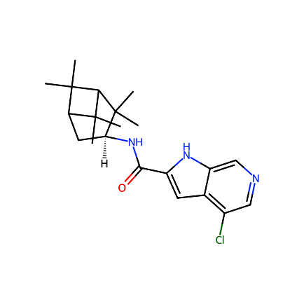 CC1(C)C2C[C@H](NC(=O)c3cc4c(Cl)cncc4[nH]3)C(C)(C)C1C2(C)C